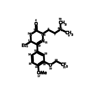 CCC1SC(=O)N(CCN(C)C)N=C1c1ccc(OC)c(OCC(F)(F)F)c1